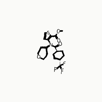 COC(=O)c1sccc1N(C(=O)[C@H]1CC[C@H](C(F)(F)F)CC1)C1CCOCC1